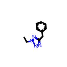 CCn1nnc(Cc2ccccc2)n1